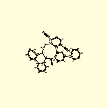 C=C1C2C(CCc3c(C#N)ccc(C#N)c3-c3cc(-c4ccccc4)cc[n+]31)c1ccccc1-c1cccc[n+]12